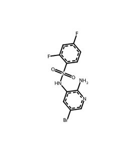 Nc1ncc(Br)cc1NS(=O)(=O)c1ccc(F)cc1F